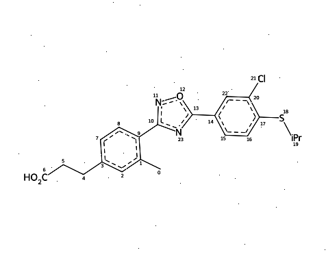 Cc1cc(CCC(=O)O)ccc1-c1noc(-c2ccc(SC(C)C)c(Cl)c2)n1